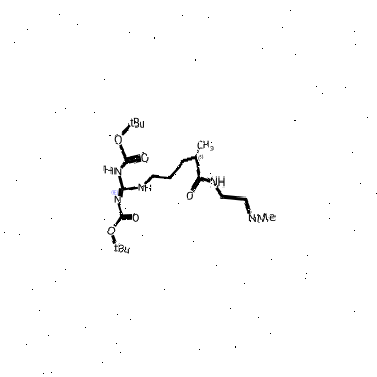 CNCCNC(=O)[C@@H](C)CCCN/C(=N\C(=O)OC(C)(C)C)NC(=O)OC(C)(C)C